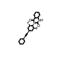 O=c1[nH]c2ccccc2c(=O)n1-c1c(F)cc(C#Cc2ccccc2)cc1F